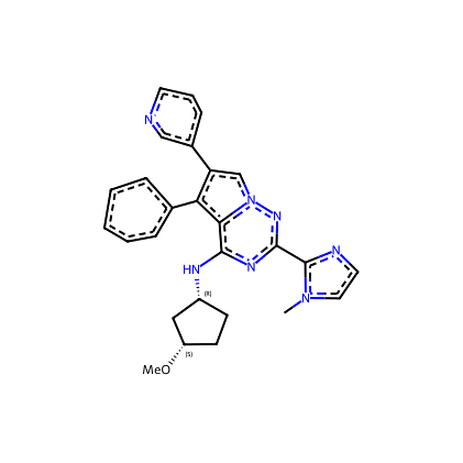 CO[C@H]1CC[C@@H](Nc2nc(-c3nccn3C)nn3cc(-c4cccnc4)c(-c4ccccc4)c23)C1